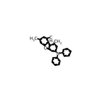 Cc1cc(C)c2c(c1)oc1cc(N(c3ccccc3)c3ccccc3)cc(C)c12